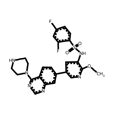 COc1ncc(-c2ccc3c(N4CCNCC4)ncnc3c2)cc1NS(=O)(=O)c1ccc(F)cc1F